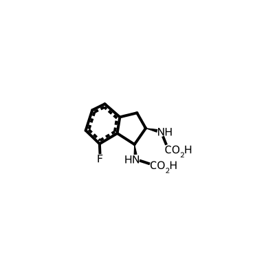 O=C(O)N[C@@H]1Cc2cccc(F)c2[C@@H]1NC(=O)O